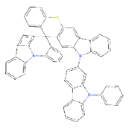 c1ccc(-n2c3ccccc3c3ccc(-n4c5ccccc5c5cc6c(cc54)C4(c5ccccc5S6)c5ccccc5-n5c6ccccc6c6cccc4c65)cc32)cc1